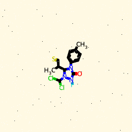 Cc1ccc(N2C(=O)N(F)N(C(Cl)Cl)C2C(C)C=S)cc1